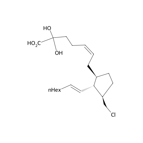 CCCCCC/C=C/[C@H]1[C@H](CCl)CC[C@@H]1C/C=C\CCC(O)(O)C(=O)O